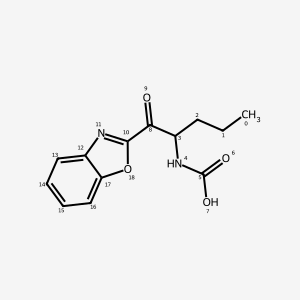 CCCC(NC(=O)O)C(=O)c1nc2ccccc2o1